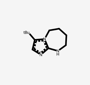 CC(C)(C)c1cnc2n1CCCCN2